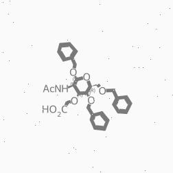 CC(=O)N[C@H]1[C@@H](OCc2ccccc2)O[C@H](COCc2ccccc2)[C@@H](OCc2ccccc2)[C@@H]1OCC(=O)O